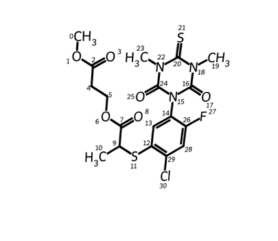 COC(=O)CCOC(=O)C(C)Sc1cc(-n2c(=O)n(C)c(=S)n(C)c2=O)c(F)cc1Cl